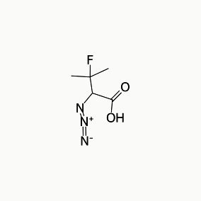 CC(C)(F)C(N=[N+]=[N-])C(=O)O